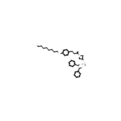 CCCCCCCCCOc1ccc(CCC(=O)N2CC(OP(=O)(OCc3ccccc3)OCc3ccccc3)C2)cc1